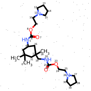 CC1(C)CC(NC(=O)OCCN2CCCC2)CC(C)(CNC(=O)OCCN2CCCC2)C1